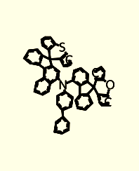 c1ccc(-c2ccc(N(c3cccc4c3-c3ccccc3C43c4ccccc4Oc4ccccc43)c3cc4c(c5ccccc35)-c3ccccc3C43c4ccccc4Sc4ccccc43)cc2)cc1